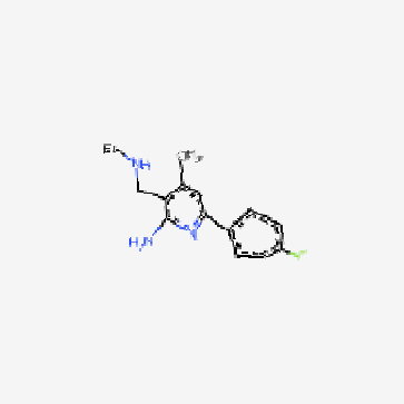 CCNCc1c(C)cc(-c2ccc(F)cc2)nc1N